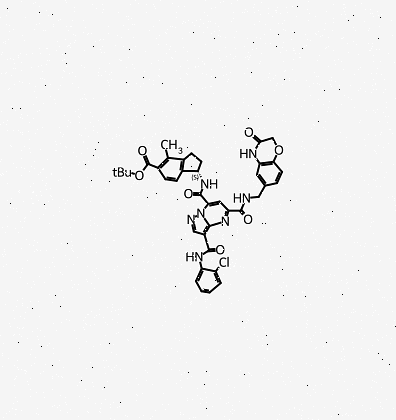 Cc1c(C(=O)OC(C)(C)C)ccc2c1CC[C@@H]2NC(=O)c1cc(C(=O)NCc2ccc3c(c2)NC(=O)CO3)nc2c(C(=O)Nc3ccccc3Cl)cnn12